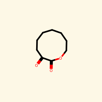 O=C1CCCCCCCOC1=O